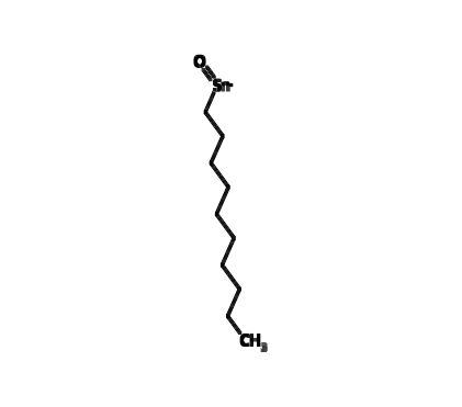 CCCCCCCCC[CH2][Sn]=[O]